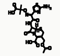 CC(=O)OCC1=C(C(=O)O)N2C(=O)C(NC(=O)C(=NOC(C)(C)C(=O)O)c3csc(N)n3)[C@@H]2SC1